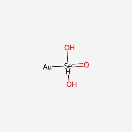 O=[SeH](O)(O)[Au]